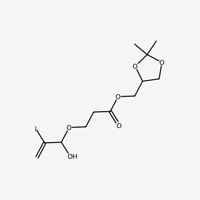 C=C(I)C(O)OCCC(=O)OCC1COC(C)(C)O1